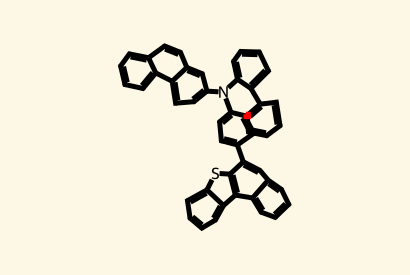 c1ccc(-c2ccccc2N(c2ccc(-c3cc4ccccc4c4c3sc3ccccc34)cc2)c2ccc3c(ccc4ccccc43)c2)cc1